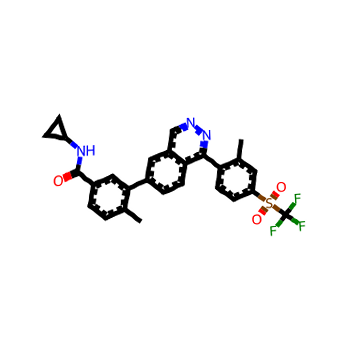 Cc1ccc(C(=O)NC2CC2)cc1-c1ccc2c(-c3ccc(S(=O)(=O)C(F)(F)F)cc3C)nncc2c1